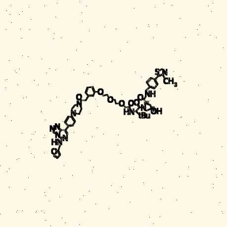 Cc1ncsc1-c1ccc(CNC(=O)[C@@H]2C[C@@H](O)CN2C(=O)C(NC(=O)COCCOCCOc2cccc(CC(=O)N3CCN(c4ccc(-c5cnc(NCc6ccco6)n6cnnc56)cc4)CC3)c2)C(C)(C)C)cc1